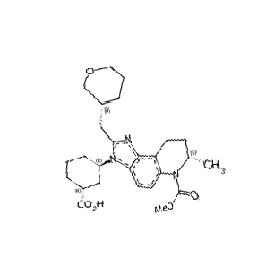 COC(=O)N1c2ccc3c(nc(C[C@H]4CCCOC4)n3[C@@H]3CCC[C@@H](C(=O)O)C3)c2CC[C@@H]1C